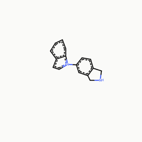 c1ccc2c(c1)ccn2-c1ccc2c(c1)CNC2